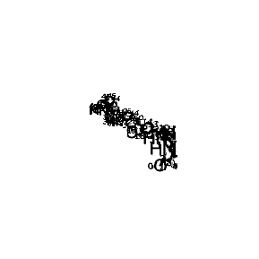 COC[C@@H](C)CNCc1ncc(-c2ccc3c(c2)COc2cc4c(ccc5nc([C@@H]6CCCN6C(=O)[C@H](NC(=O)OC)c6ccccc6)[nH]c54)cc2-3)[nH]1